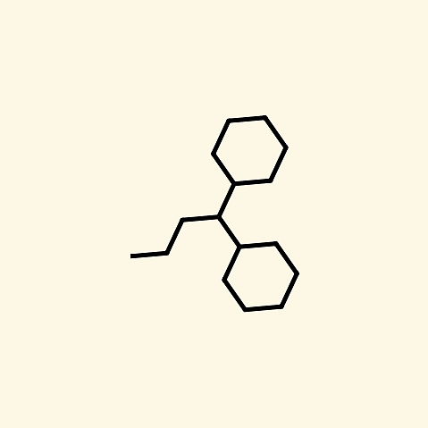 CCC[C](C1CCCCC1)C1CCCCC1